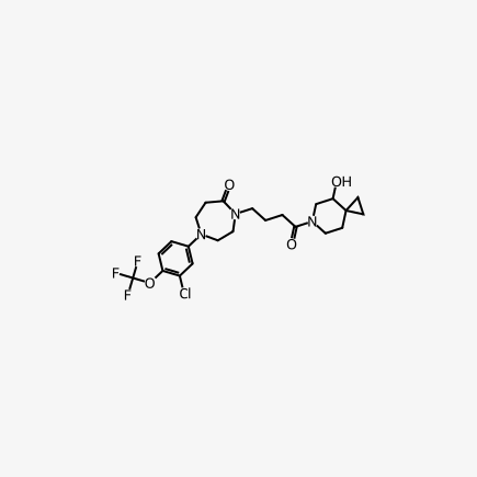 O=C1CCN(c2ccc(OC(F)(F)F)c(Cl)c2)CCN1CCCC(=O)N1CCC2(CC2)C(O)C1